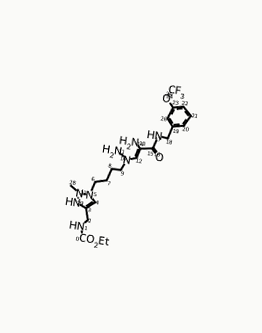 CCOC(=O)NCC1=CN(CCCCN(N)/C=C(\N)C(=O)NCc2cccc(OC(F)(F)F)c2)N(C)N1